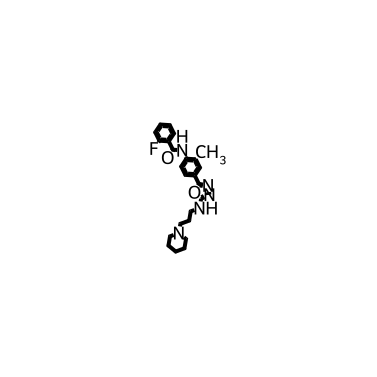 Cc1cc(-c2nnc(NCCCN3CCCCC3)o2)ccc1NC(=O)c1ccccc1F